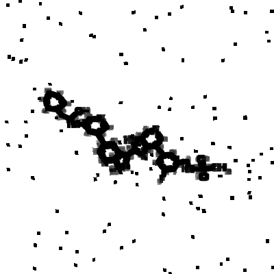 CS(=O)(=O)NCc1cc(F)cc(-c2cncc3[nH]c(-c4n[nH]c5ncc(-c6cncc(NC(O)Cc7ccccc7)c6)cc45)nc23)c1